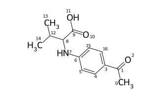 CC(=O)c1ccc(NC(C(=O)O)C(C)C)cc1